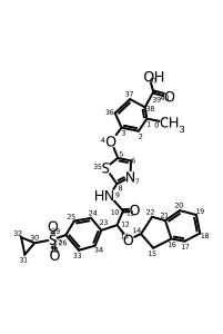 Cc1cc(Oc2cnc(NC(=O)C(OC3Cc4ccccc4C3)c3ccc(S(=O)(=O)C4CC4)cc3)s2)ccc1C(=O)O